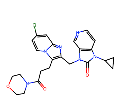 O=C(CCc1c(Cn2c(=O)n(C3CC3)c3ccncc32)nc2cc(Cl)ccn12)N1CCOCC1